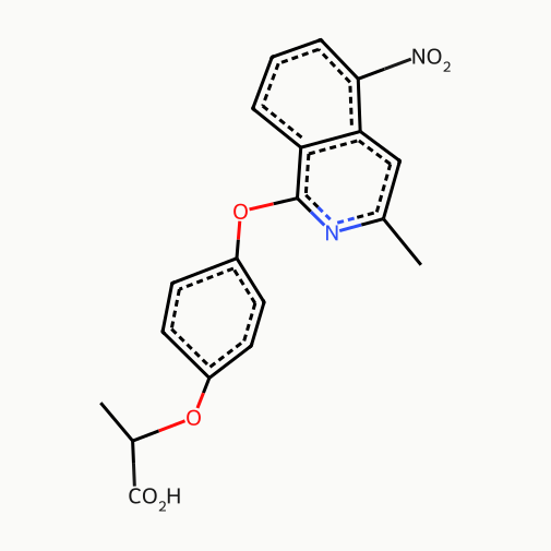 Cc1cc2c([N+](=O)[O-])cccc2c(Oc2ccc(OC(C)C(=O)O)cc2)n1